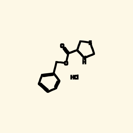 Cl.O=C(OCc1ccccc1)C1CSCN1